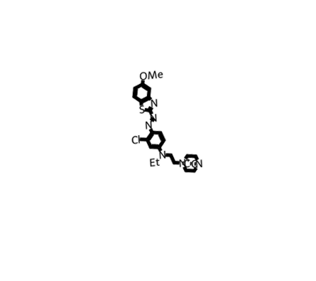 CCN(CC[N+]12CCN(CC1)CC2)c1ccc(N=Nc2nc3cc(OC)ccc3s2)c(Cl)c1